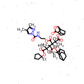 CCC1(OC(=O)C(C)(C)C(C)(C(=O)OC2(C)C3CC4CC(C3)CC2C4)C(C)(C(=O)OCCNC(=O)n2cc(C)c(C)n2)C(C)(C)C(=O)OC2C3CC4C(=O)OC2C4C3)CCCC1